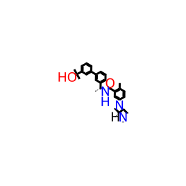 Cc1ccc(N2C[C@H]3C2CN3C)cc1C(=O)N[C@H](C)c1cccc(-c2cccc(C(C)(C)O)c2)c1